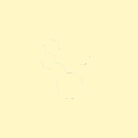 CCCCCCCC(=O)OC1C#CCCCCC#C/C1=C\c1cccc2ccccc12